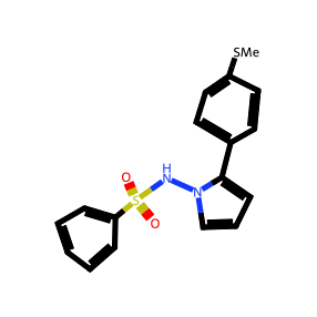 CSc1ccc(-c2cccn2NS(=O)(=O)c2ccccc2)cc1